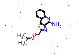 CC(C)=NOCc1nc2c(N)nc3ccccc3c2s1